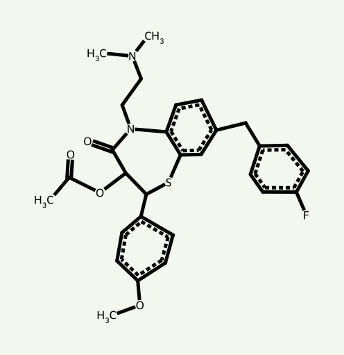 COc1ccc(C2Sc3cc(Cc4ccc(F)cc4)ccc3N(CCN(C)C)C(=O)C2OC(C)=O)cc1